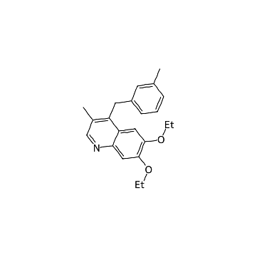 CCOc1cc2ncc(C)c(Cc3cccc(C)c3)c2cc1OCC